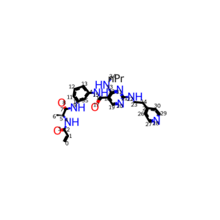 C=CC(=O)N[C@@H](C)C(=O)Nc1cccc(NC(=O)c2cnc(NCCc3ccncc3)nc2NCCC)c1